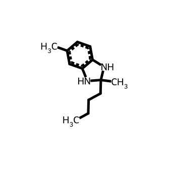 CCCCC1(C)Nc2ccc(C)cc2N1